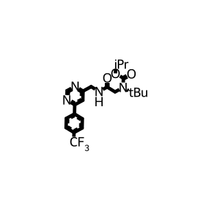 CC(C)OC(=O)N(CC(=O)NCc1cc(-c2ccc(C(F)(F)F)cc2)ncn1)C(C)(C)C